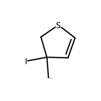 [CH2]C1(I)C=CSC1